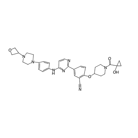 N#Cc1cc(-c2nccc(Nc3ccc(N4CCN(C5COC5)CC4)cc3)n2)ccc1OC1CCN(C(=O)C2(O)CC2)CC1